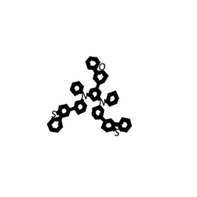 c1ccc(N(c2cccc(-c3ccc4sc5ccccc5c4c3)c2)c2cc(-c3ccc4oc5ccccc5c4c3)cc(N(c3ccccc3)c3cccc(-c4ccc5sc6ccccc6c5c4)c3)c2)cc1